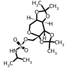 CC(C)NS(=O)(=O)OC[C@@]12OC[C@H]3OC(C)(C)O[C@H]3[C@@H]1OC(C)(C)O2